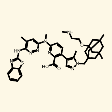 CNCCOC12CC3(C)CC(C)(CC(Cn4ncc(-c5ccc(N(C)c6cc(C)c(Nc7nc8ccccc8s7)nn6)nc5C(=O)O)c4C)(C3)C1)C2